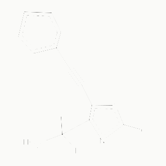 O=C(O)C(F)(F)c1nc(Cl)sc1C#Cc1ccccc1